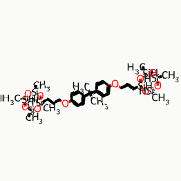 C[SiH]1O[SiH](C)O[SiH](CCCOc2ccc(C(C)(C)c3ccc(OCCC[Si]4(C)O[SiH](C)O[SiH](C)O[SiH](C)O4)cc3)cc2)O[SiH](C)O1